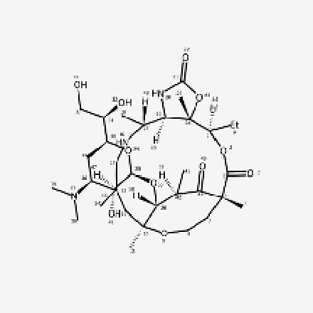 CC[C@H]1OC(=O)[C@]2(C)CCO[C@@](C)(C[C@@H](C)CN[C@H](C)[C@H]3NC(=O)O[C@@]31C)[C@H](O[C@@H]1O[C@H]([C@H](O)CO)C[C@H](N(C)C)[C@H]1O)[C@@H](C)C2=O